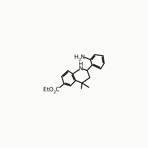 CCOC(=O)c1ccc2c(c1)C(C)(C)CC(c1ccccc1N)N2